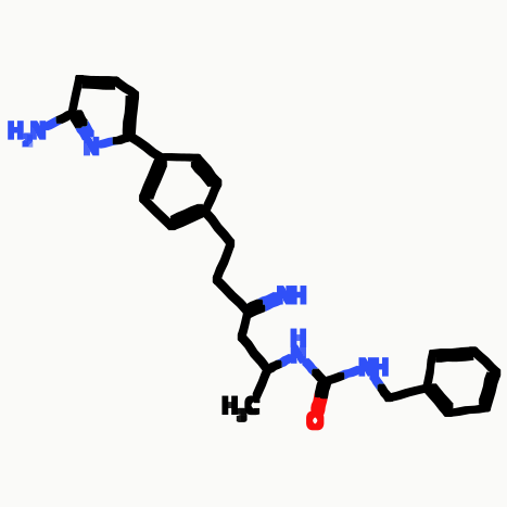 CC(CC(=N)CCc1ccc(-c2cccc(N)n2)cc1)NC(=O)NCc1ccccc1